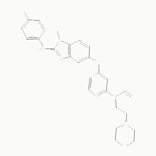 Cn1c(Nc2ccc(Cl)cc2)nc2cc(Oc3ccnc(N(C=O)CCN4CCOCC4)c3)ccc21